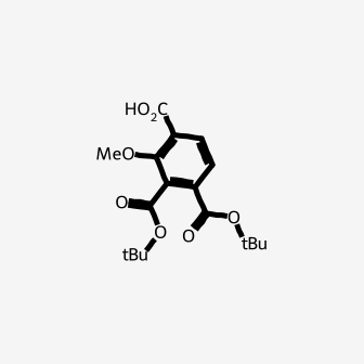 COc1c(C(=O)O)ccc(C(=O)OC(C)(C)C)c1C(=O)OC(C)(C)C